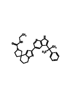 CCNC(=O)N1CCC2(CCCn3nc(-c4cnc5[nH]cc(C(C)(C)c6ccccc6)c5c4)cc32)C1